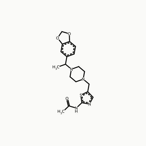 CC(=O)Nc1ncc(CN2CCN(C(C)c3ccc4c(c3)OCO4)CC2)s1